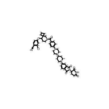 N#Cc1ccc(OC2CCN(C(=O)c3ccc(N4CCN(C5CCN(c6ccc7c(c6)C(=O)N(C6CCC(=O)NC6=O)C7=O)CC5)CC4)cc3)CC23CCC3)cc1Cl